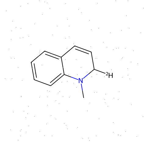 [2H]C1C=Cc2ccccc2N1C